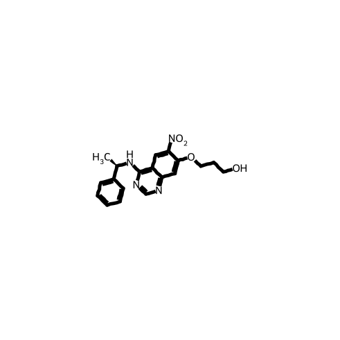 C[C@@H](Nc1ncnc2cc(OCCCO)c([N+](=O)[O-])cc12)c1ccccc1